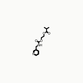 CC(C)C(=O)OCCOC(=O)NCc1cccnc1